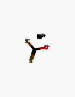 [Ni+2].[O-]C(=S)[S-]